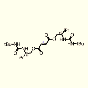 CC(C)[C@H](COC(=O)/C=C/C(=O)OC[C@H](NC(=O)NC(C)(C)C)C(C)C)NC(=O)NC(C)(C)C